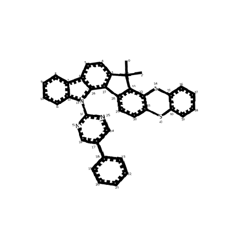 CC1(C)c2ccc3c4ccccc4n(-c4ncc(-c5ccccc5)cn4)c3c2-c2ccc3c(c21)Sc1ccccc1S3